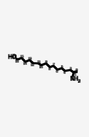 C=C(N)CCCCCCCCCCCCCCO